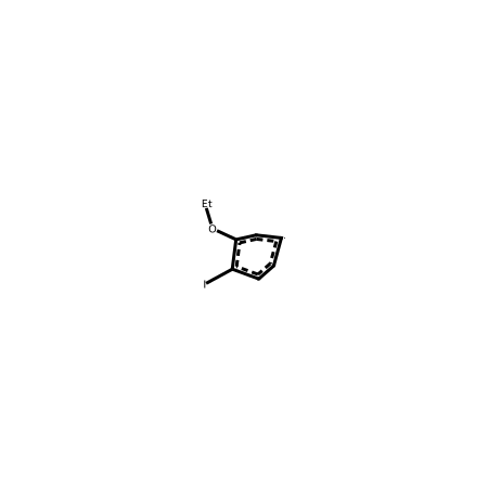 CCOc1c[c]ccc1I